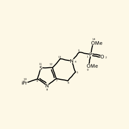 COP(=O)(CN1CCc2nc(C(C)C)sc2C1)OC